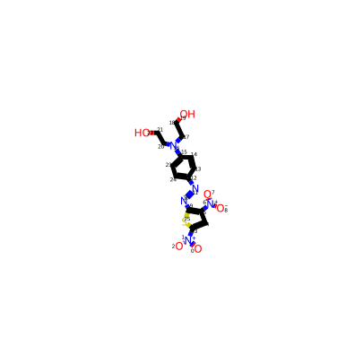 O=[N+]([O-])c1cc([N+](=O)[O-])c(N=Nc2ccc(N(CCO)CCO)cc2)s1